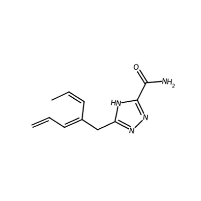 C=C/C=C(\C=C/C)Cc1nnc(C(N)=O)[nH]1